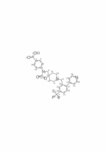 O=C(O)c1ccc(N2CC3(CCN(Cc4cc(C(F)(F)F)ccc4-c4ccncc4)CC3)OC2=O)cc1